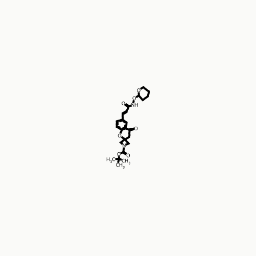 CC(C)(C)OC(=O)N1CC2(CC(=O)c3cc(C=CC(=O)NOC4CCCCO4)ccc3O2)C1